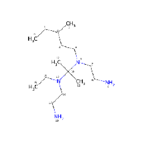 CCC(C)CCN(CCN)C(C)(C)N(CC)CCN